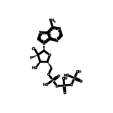 Nc1ncnc2c1ncn2[C@@H]1O[C@H](COP(=O)(O)OP(=O)(O)OP(=O)(O)O)[C@@H](O)[C@@]1(F)Cl